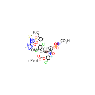 CCCCCOC(=O)COc1cc(N2C(=O)C3=C(CCCC3)C2=O)c(F)cc1Cl.COc1c(Cl)ccc(Cl)c1C(=O)O.COc1nc(C)nc(NC(=O)NS(=O)(=O)c2ccccc2CCC(F)(F)F)n1.C[S+](C)C.O=C(O)CNCP(=O)([O-])O